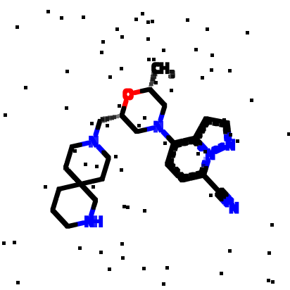 C[C@@H]1CN(c2ccc(C#N)n3nccc23)C[C@H](CN2CCC3(CCCNC3)CC2)O1